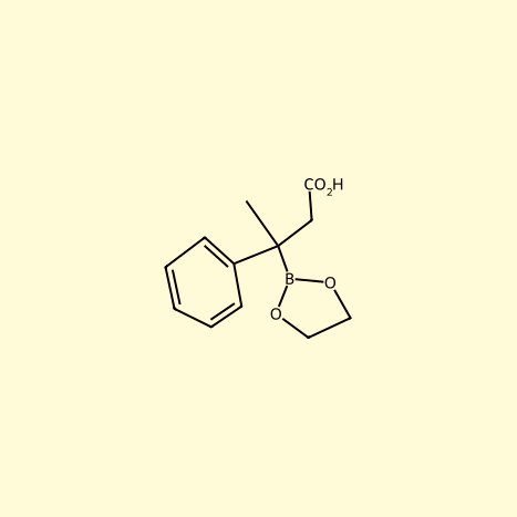 CC(CC(=O)O)(B1OCCO1)c1ccccc1